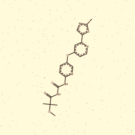 COC(C)(C)C(=O)NC(=O)Nc1ccc(Oc2ccnc(-c3cnc(C)s3)c2)cn1